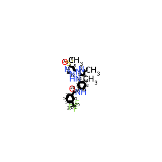 CC1=NN(c2cc([S+](C)[O-])ncn2)C(Nc2cc(NC(=O)c3cccc(C(F)(F)F)c3)ccc2C)C1